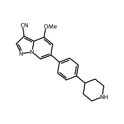 COc1cc(-c2ccc(C3CCNCC3)cc2)cn2ncc(C#N)c12